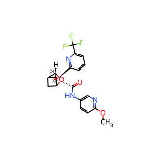 COc1ccc(NC(=O)[C@H]2[C@@H](c3cccc(C(F)(F)F)n3)[C@H]3OC24CC3C4)cn1